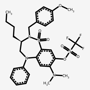 CCCC[C@@H]1CN(c2ccccc2)c2cc(N(C)C)c(OS(=O)(=O)C(F)(F)F)cc2S(=O)(=O)N1Cc1ccc(OC)cc1